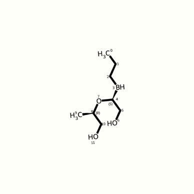 CCCB[C@@H](CO)O[C@H](C)CO